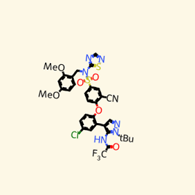 COc1ccc(CN(c2ncns2)S(=O)(=O)c2ccc(Oc3ccc(Cl)cc3-c3cnn(C(C)(C)C)c3NC(=O)C(F)(F)F)c(C#N)c2)c(OC)c1